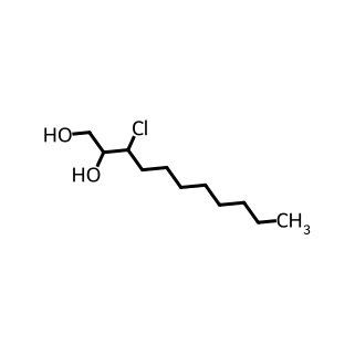 CCCCCCCCC(Cl)C(O)CO